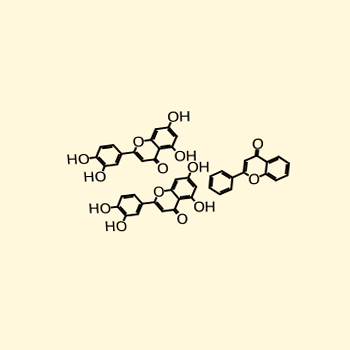 O=c1cc(-c2ccc(O)c(O)c2)oc2cc(O)cc(O)c12.O=c1cc(-c2ccc(O)c(O)c2)oc2cc(O)cc(O)c12.O=c1cc(-c2ccccc2)oc2ccccc12